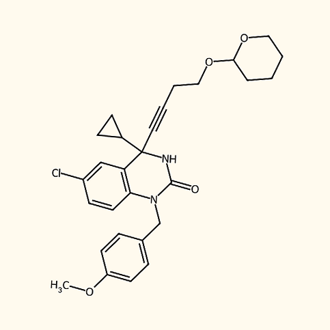 COc1ccc(CN2C(=O)NC(C#CCCOC3CCCCO3)(C3CC3)c3cc(Cl)ccc32)cc1